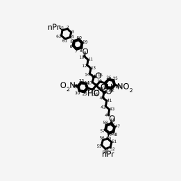 CCC[C@H]1CC[C@H](c2ccc(OCCCCCC(=O)CC(Cc3ccc([N+](=O)[O-])cc3)(Cc3ccc([N+](=O)[O-])cc3)C(O)(O)C(=O)CCCCCOc3ccc([C@H]4CC[C@H](CCC)CC4)cc3)cc2)CC1